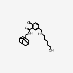 O=C(NCC12CC3CC(CC(C3)C1)C2)c1cc(CNCCCCCO)ccc1Cl